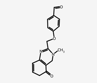 CN1CC2=C(C=CCC2=O)N=C1COc1ccc(C=O)cc1